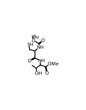 COC(=O)C(NC(=O)C(CS)NC(=O)OC(C)(C)C)C(C)O